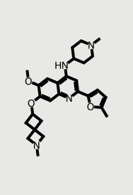 COc1cc2c(NC3CCN(C)CC3)cc(-c3ccc(C)o3)nc2cc1OC1CC2(C1)CN(C)C2